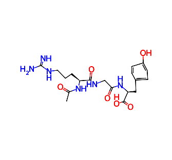 CC(=O)N[C@@H](CCCNC(=N)N)C(=O)NCC(=O)N[C@@H](Cc1ccc(O)cc1)C(=O)O